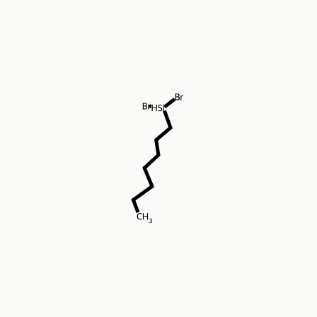 CCCCCCC[SiH](Br)Br